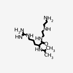 CC(C)NC(CCCNC(=N)N)C(=O)NCCNCCN